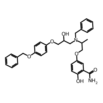 CC(COc1ccc(O)c(C(N)=O)c1)N(Cc1ccccc1)CC(O)COc1ccc(OCc2ccccc2)cc1